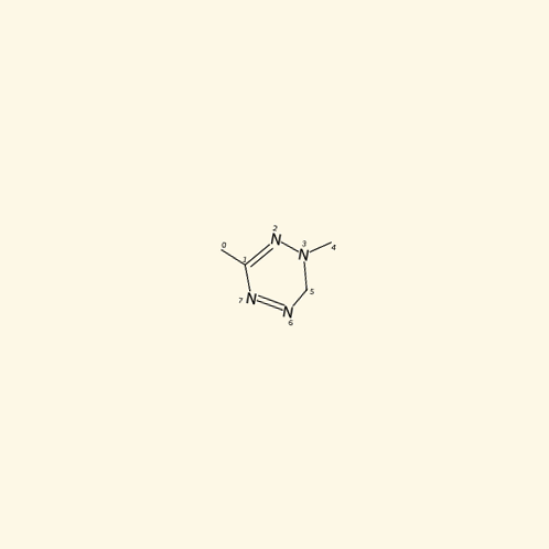 CC1=NN(C)CN=N1